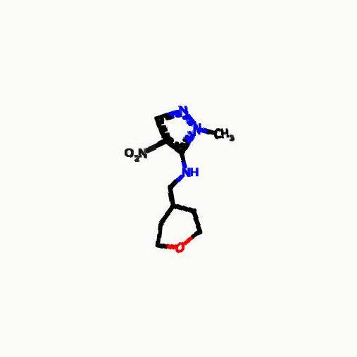 Cn1ncc([N+](=O)[O-])c1NCC1CCOCC1